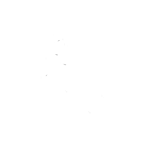 CC(=O)[C@@]1(O)CC[C@H]2[C@@H]3C[C@H](C)C4=C/C(=N/OCc5cncc(C)c5)CC[C@]4(C)[C@H]3CC[C@@]21C